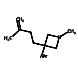 C=C(C)CCC1(CCC)CN(C)C1